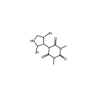 CC(C)C1CNC(C(C)C)C1C1C(=O)N(C)C(=O)N(C)C1=O